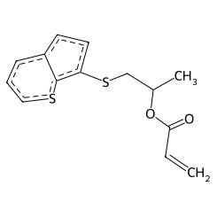 C=CC(=O)OC(C)CSc1ccc2cccsc1-2